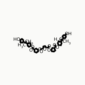 CC(C)(c1ccc(O)cc1)c1ccc(OC(=O)c2cccc(OC(=O)c3ccc(C(=O)Oc4cccc(C(=O)Oc5ccc(C(C)(C)c6ccc(O)cc6)cc5)c4)o3)c2)cc1